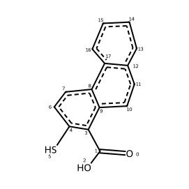 O=C(O)c1c(S)ccc2c1ccc1ccccc12